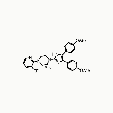 COc1ccc(-c2nc(N3CCN(c4ncccc4C(F)(F)F)C[C@H]3C)[nH]c2-c2ccc(OC)cc2)cc1